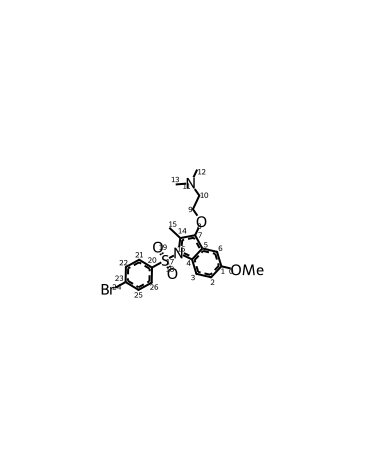 COc1ccc2c(c1)c(OCCN(C)C)c(C)n2S(=O)(=O)c1ccc(Br)cc1